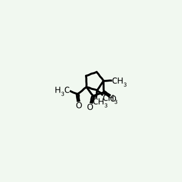 CC(=O)C12CCC(C)(C(=O)C1=O)C2(C)C